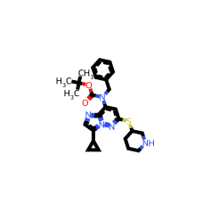 CC(C)(C)OC(=O)N(Cc1ccccc1)c1cc(SC2CCCNC2)nn2c(C3CC3)cnc12